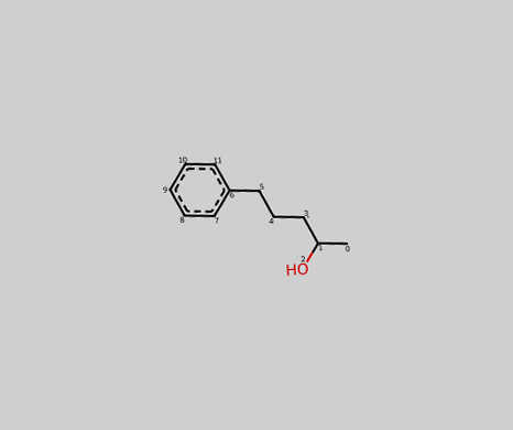 CC(O)[CH]CCc1ccccc1